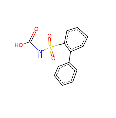 O=C(O)NS(=O)(=O)c1ccccc1-c1ccccc1